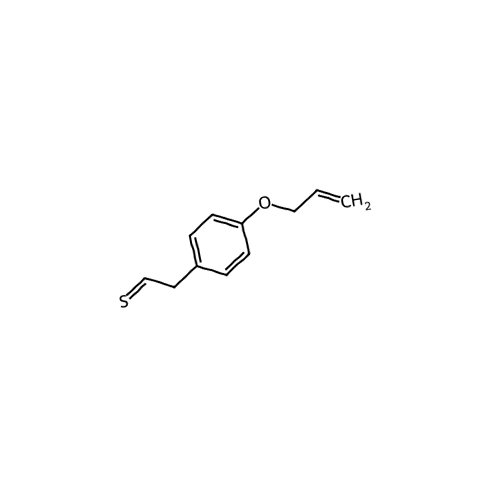 C=CCOc1ccc(CC=S)cc1